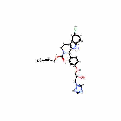 CC#CCOC(=O)N1CCc2c([nH]c3ccc(Cl)cc23)C1c1ccc(OCC(O)Cn2cncn2)cc1